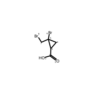 O=C(O)C1CC1(Br)CBr